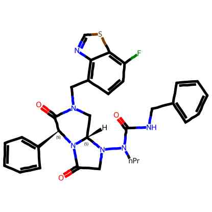 CCCN(C(=O)NCc1ccccc1)N1CC(=O)N2[C@@H](c3ccccc3)C(=O)N(Cc3ccc(F)c4scnc34)C[C@@H]21